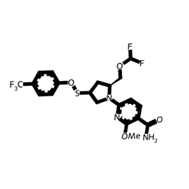 COc1nc(N2CC(SOc3ccc(C(F)(F)F)cc3)C[C@H]2COC(F)F)ccc1C(N)=O